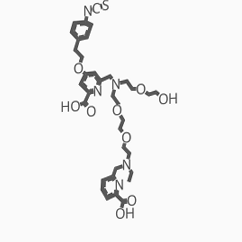 CCN(CCOCCOCCN(CCOCCO)Cc1cc(OCCc2ccc(N=C=S)cc2)cc(C(=O)O)n1)Cc1cccc(C(=O)O)n1